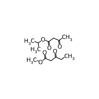 CC(=O)CC(=O)OC(C)C.CCC(=O)CC(=O)OC